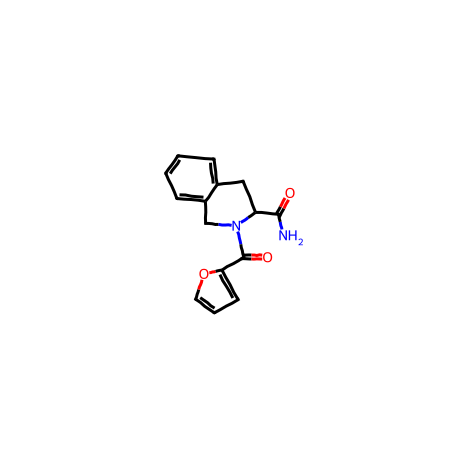 NC(=O)C1Cc2ccccc2CN1C(=O)c1ccco1